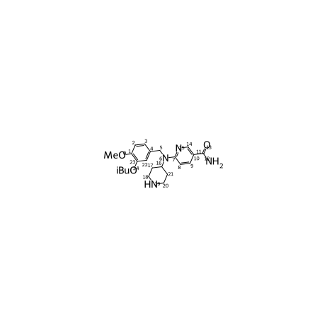 COc1ccc(CN(c2ccc(C(N)=O)cn2)C2CCNCC2)cc1OCC(C)C